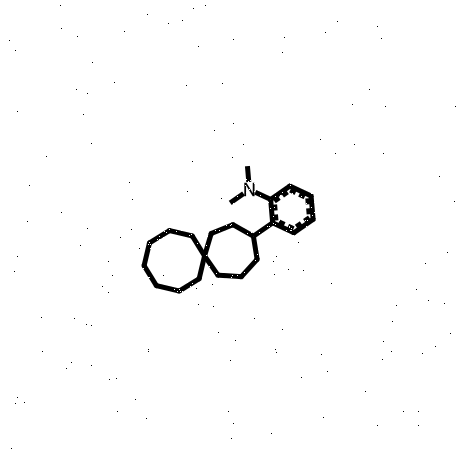 CN(C)c1ccccc1C1CCCC2(CCCCCCC2)CC1